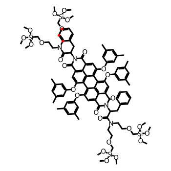 CO[Si](COCCN(CCOC[Si](OC)(OC)OC)C(=O)C(Cc1ccccc1)N1C(=O)c2cc(Oc3cc(C)cc(C)c3)c3c4c(Oc5cc(C)cc(C)c5)cc5c6c(cc(Oc7cc(C)cc(C)c7)c(c7c(Oc8cc(C)cc(C)c8)cc(c2c37)C1=O)c64)C(=O)N(C(Cc1ccccc1)C(=O)N(CCOC[Si](OC)(OC)OC)CCOC[Si](OC)(OC)OC)C5=O)(OC)OC